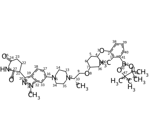 Cc1c(OC2CCC(OC[C@H](C)N3CCN(c4ccc5c(C6CCC(=O)NC6=O)nn(C)c5c4)CC3)CC2)cccc1B1OC(C)(C)C(C)(C)O1